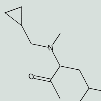 CC(=O)C(CC(C)C)N(C)CC1CC1